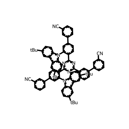 CC(C)(C)c1ccc2c(c1)c1cc(C(C)(C)C)ccc1n2-c1cc(-c2cccc(C#N)c2)ccc1-c1nc(-c2cccc(-c3cccc(C#N)c3)c2)nc(-c2ccc(-c3cccc(C#N)c3)cc2-n2c3ccc(C(C)(C)C)cc3c3cc(C(C)(C)C)ccc32)n1